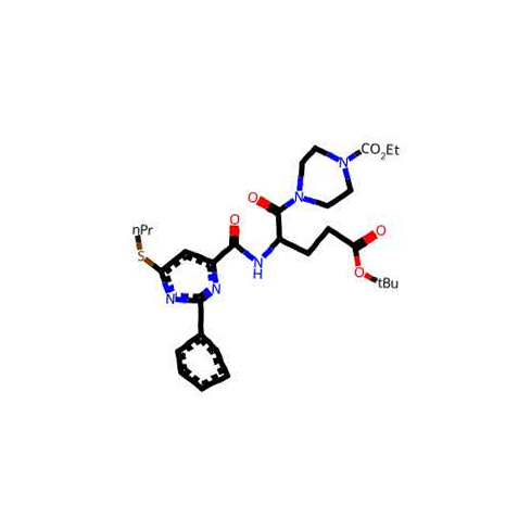 CCCSc1cc(C(=O)NC(CCC(=O)OC(C)(C)C)C(=O)N2CCN(C(=O)OCC)CC2)nc(-c2ccccc2)n1